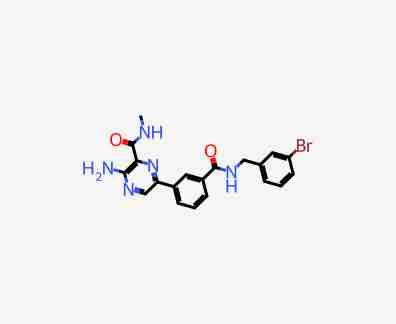 CNC(=O)c1nc(-c2cccc(C(=O)NCc3cccc(Br)c3)c2)cnc1N